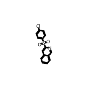 O=S(=O)(c1ccc(Cl)cc1)c1cc2ccccc2cn1